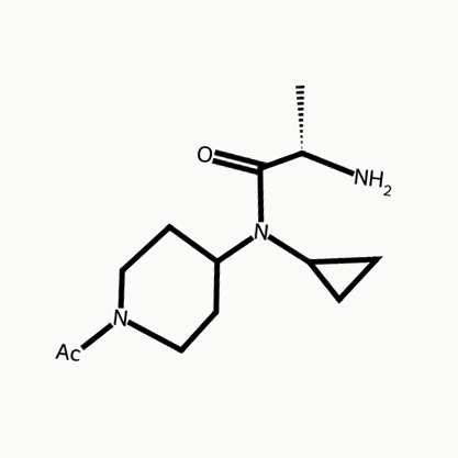 CC(=O)N1CCC(N(C(=O)[C@H](C)N)C2CC2)CC1